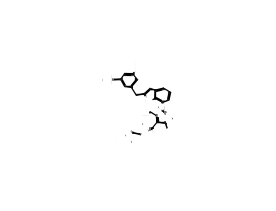 Cc1nn(-c2cccc3cc(Cc4cc(F)cc(Cl)c4)sc23)c(C)c1C(=O)NCC(N)=O